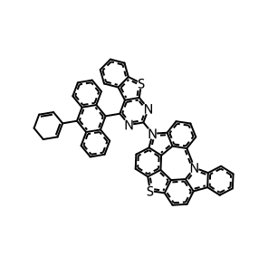 C1=CC(c2c3ccccc3c(-c3nc(-n4c5ccc6sc7ccc8c9ccccc9n9c%10cccc4c%10c5c6c7c89)nc4sc5ccccc5c34)c3ccccc23)=CCC1